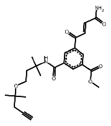 C#CCC(C)(C)OCCC(C)(C)NC(=O)c1cc(C(=O)/C=C/C(N)=O)cc(C(=O)OC)c1